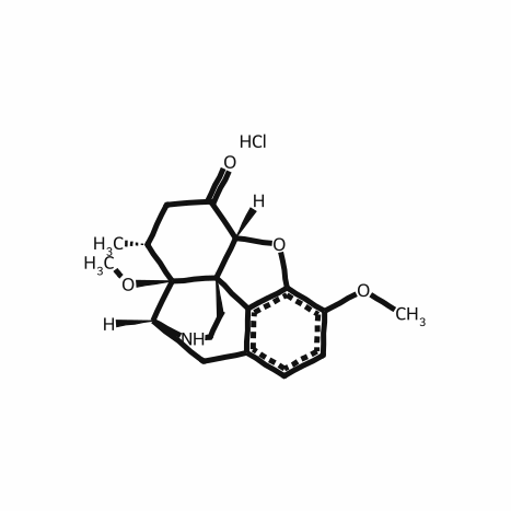 COc1ccc2c3c1O[C@H]1C(=O)C[C@@H](C)[C@@]4(OC)[C@@H](C2)NCC[C@]314.Cl